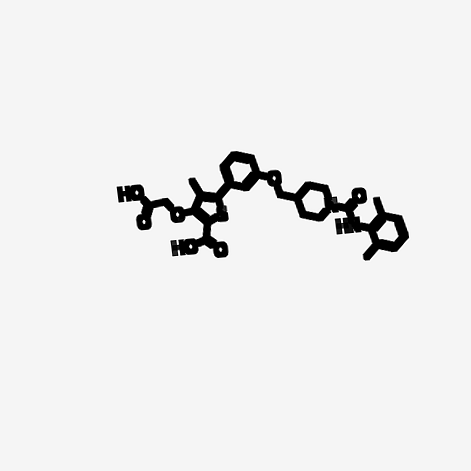 Cc1cccc(C)c1NC(=O)N1CCC(COc2cccc(-c3sc(C(=O)O)c(OCC(=O)O)c3C)c2)CC1